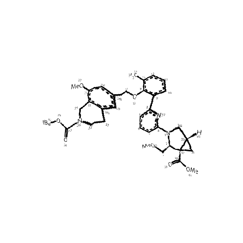 COC[C@H]1N(c2cccc(-c3cccc(C)c3OCc3cc4c(c(OC)c3)CN(C(=O)OC(C)(C)C)CC4)n2)C[C@@H]2C[C@@]21C(=O)OC